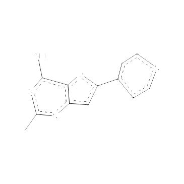 Cc1nc(N)c2oc(-c3ccncc3)cc2n1